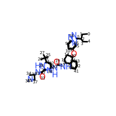 CCC(CC)c1nnc2ccc(O[C@@H]3CC[C@H](NC(=O)Nc4cc(C(C)(C)C)nc(C(=O)NC5CN(C)C5)n4)c4ccccc43)cn12